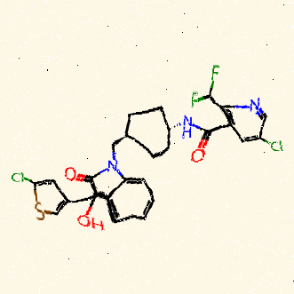 O=C(N[C@H]1CC[C@H](CN2C(=O)C(O)(c3csc(Cl)c3)c3ccccc32)CC1)c1cc(Cl)cnc1C(F)F